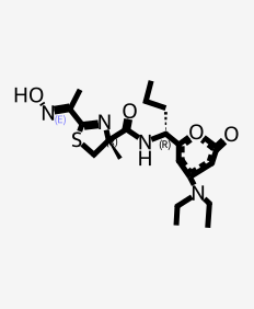 CCC[C@@H](NC(=O)[C@]1(C)CSC(/C(C)=N/O)=N1)c1cc(N(CC)CC)cc(=O)o1